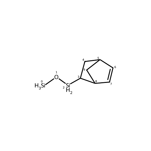 [SiH3]O[SiH2]C1CC2C=CC1C2